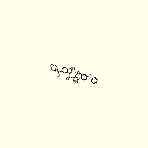 Nc1c(C(=O)c2c[nH]c3ccc(C(=O)N4CCOCC4)cc23)cnn1-c1ccc(Oc2ccccc2)cc1Cl